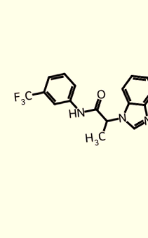 CC(C(=O)Nc1cccc(C(F)(F)F)c1)n1cnc2ccccc21